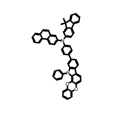 CC1(C)c2ccccc2-c2ccc(N(c3ccc(-c4ccc5c6ccc7c(c6n(-c6ccccc6)c5c4)Oc4ccccc4O7)cc3)c3ccc4c(ccc5ccccc54)c3)cc21